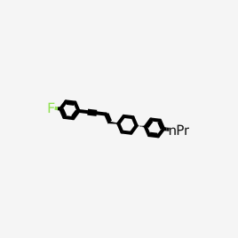 CCCc1ccc([C@H]2CC[C@H](C=CC#Cc3ccc(F)cc3)CC2)cc1